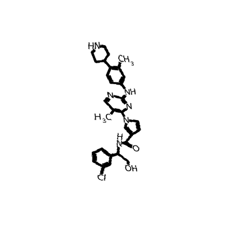 Cc1cc(Nc2ncc(C)c(-n3ccc(C(=O)NC(CO)c4cccc(Cl)c4)c3)n2)ccc1C1CCNCC1